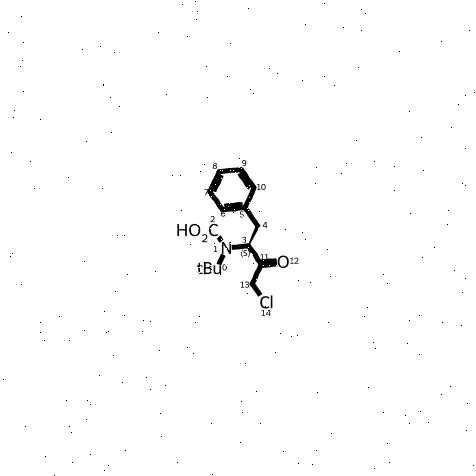 CC(C)(C)N(C(=O)O)[C@@H](Cc1ccccc1)C(=O)CCl